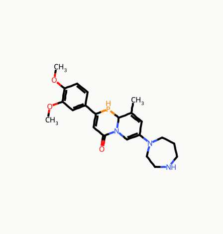 COc1ccc(C2=CC(=O)N3C=C(N4CCCNCC4)C=C(C)C3P2)cc1OC